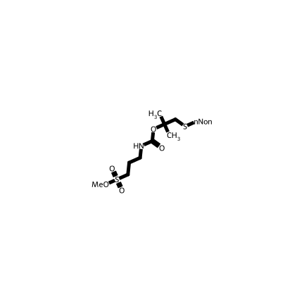 CCCCCCCCCSCC(C)(C)OC(=O)NCCCS(=O)(=O)OC